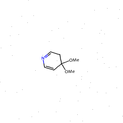 COC1(OC)C=CN=CC1